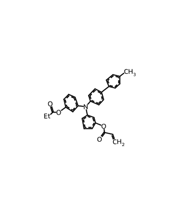 C=CC(=O)Oc1cccc(N(c2ccc(-c3ccc(C)cc3)cc2)c2cccc(OC(=O)CC)c2)c1